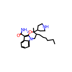 CCCCCCC1Cn2c(c(C(N)=O)c3ccccc32)OC1(C)C1CCNCC1